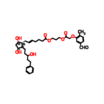 Cc1ccc(C=O)cc1OCC(=O)OCCCOC(=O)CCCC=CC[C@@H]1[C@@H](CCC(O)CCc2ccccc2)[C@H](O)C[C@@H]1O